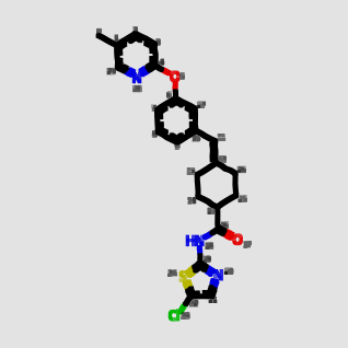 Cc1ccc(Oc2cccc(C=C3CCC(C(=O)Nc4ncc(Cl)s4)CC3)c2)nc1